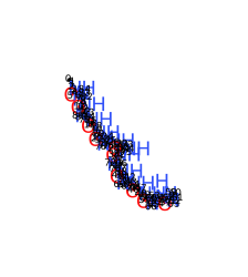 CCCNC(=O)c1nc(NC(=O)c2cc(NC(=O)CCNC(=O)c3nc(NC(=O)CC4(CNC(=O)c5cc(NC(=O)c6nc(NC(=O)CCNC(=O)c7cc(NC(=O)c8nccn8C)cn7C)cn6C)cn5C)CNC4)cn3C)cn2C)cn1C